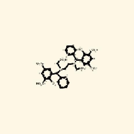 COc1cc(C(c2ccccn2)N(CCN(CC(=O)O)[C@H](c2ccccn2)c2cc(OC)cc(S(=O)(=O)O)c2O)CC(=O)O)c(O)c(S(=O)(=O)O)c1